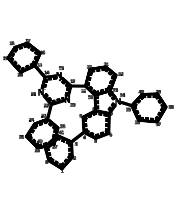 c1ccc(-c2ccc3c(c2)c2c(-c4nc(-c5ccccc5)nc(-c5ccccc5)n4)cccc2n3-c2ccccc2)cc1